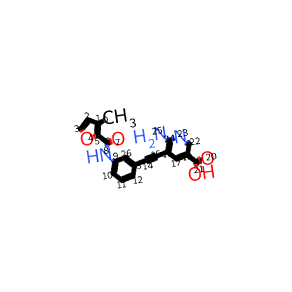 Cc1ccoc1C(=O)Nc1cccc(C#Cc2cc(C(=O)O)cnc2N)c1